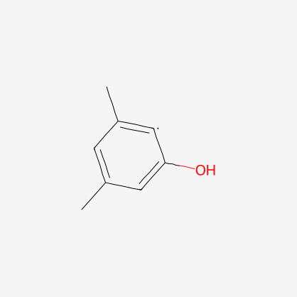 Cc1[c]c(O)cc(C)c1